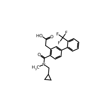 CN(CC1CC1)C(=O)c1ccc(-c2ccccc2C(F)(F)F)cc1CC(=O)O